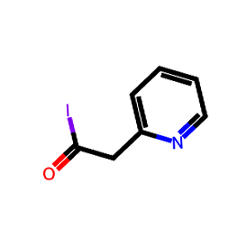 O=C(I)Cc1ccccn1